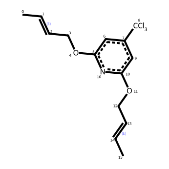 C/C=C/COc1cc(C(Cl)(Cl)Cl)cc(OC/C=C/C)n1